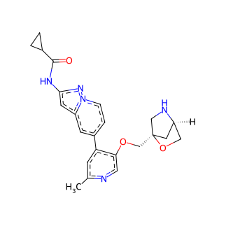 Cc1cc(-c2ccn3nc(NC(=O)C4CC4)cc3c2)c(OC[C@@]23CN[C@@H](CO2)C3)cn1